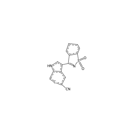 N#Cc1ccc2[nH]cc(C3=NS(=O)(=O)c4ccccc43)c2c1